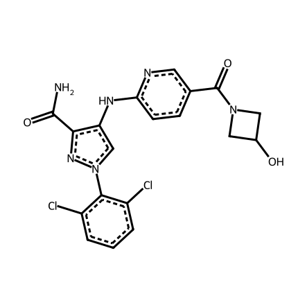 NC(=O)c1nn(-c2c(Cl)cccc2Cl)cc1Nc1ccc(C(=O)N2CC(O)C2)cn1